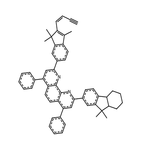 C#C/C=C\C1=C(C)c2ccc(-c3cc(-c4ccccc4)c4ccc5c(-c6ccccc6)cc(-c6ccc7c(c6)C(C)(C)C6CCCCC76)nc5c4n3)cc2C1(C)C